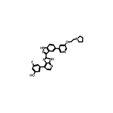 Oc1cc(F)cc(-c2ccnc3[nH]c(-c4n[nH]c5ccc(-c6cncc(OCCN7CCCC7)c6)cc45)nc23)c1